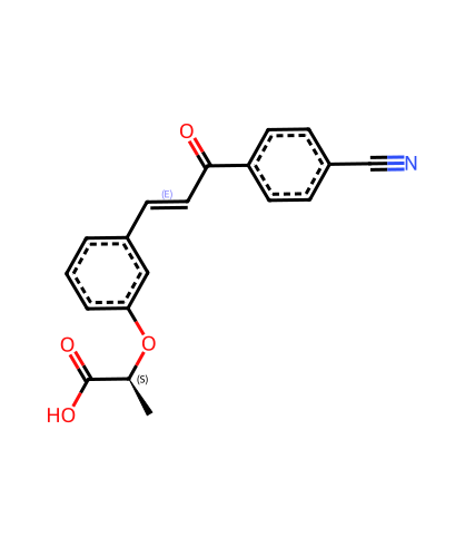 C[C@H](Oc1cccc(/C=C/C(=O)c2ccc(C#N)cc2)c1)C(=O)O